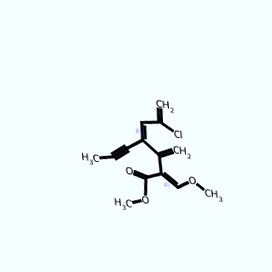 C=C(Cl)/C=C(/C#CC)C(=C)/C(=C\OC)C(=O)OC